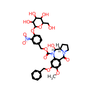 COc1cc2c(cc1OCc1ccccc1)N(C(=O)OCc1ccc(OC3OC(CO)C(O)C(O)C3O)c([N+](=O)[O-])c1)[C@@H](O)[C@@H]1CCCN1C2=O